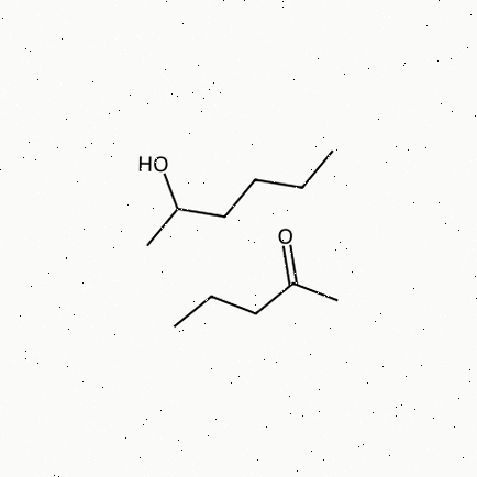 CCCC(C)=O.CCCCC(C)O